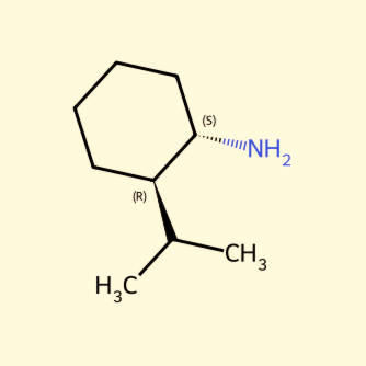 CC(C)[C@H]1CCCC[C@@H]1N